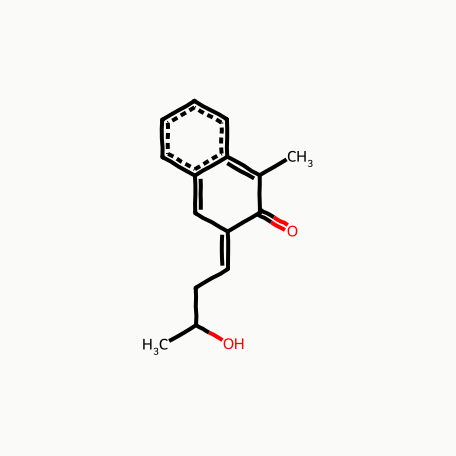 CC1=c2ccccc2=CC(=CCC(C)O)C1=O